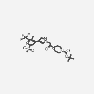 Cc1c(-c2cnn(CC(=O)N3CCN(C(=O)OC(C)(C)C)CC3)c2)cc(S(C)(=O)=O)nc1C(F)(F)F